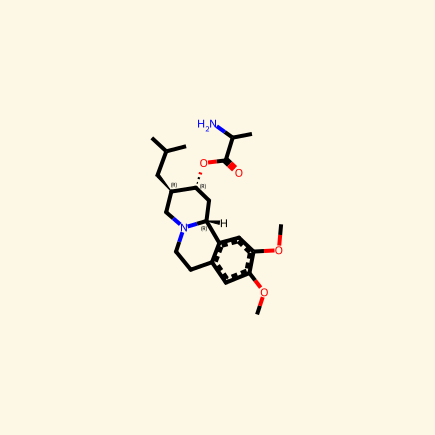 COc1cc2c(cc1OC)[C@H]1C[C@@H](OC(=O)C(C)N)[C@H](CC(C)C)CN1CC2